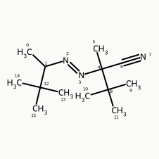 CC(N=NC(C)(C#N)C(C)(C)C)C(C)(C)C